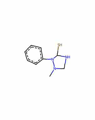 CN1CNC(S)N1c1ccccc1